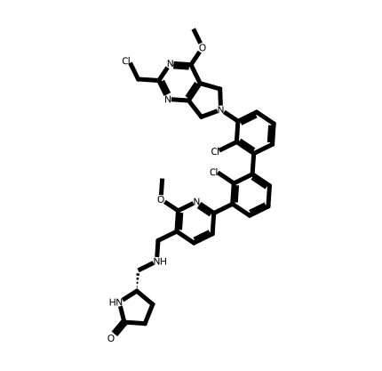 COc1nc(-c2cccc(-c3cccc(N4Cc5nc(CCl)nc(OC)c5C4)c3Cl)c2Cl)ccc1CNC[C@@H]1CCC(=O)N1